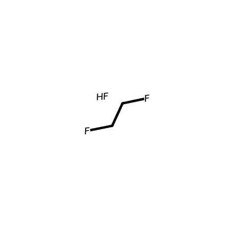 F.FCCF